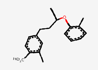 Cc1ccccc1OC(C)CCc1ccc(C(=O)O)c(C)c1